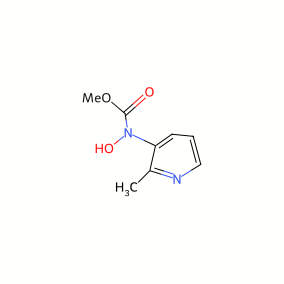 COC(=O)N(O)c1cccnc1C